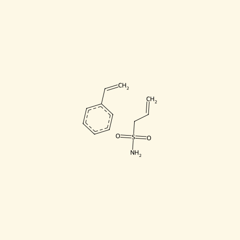 C=CCS(N)(=O)=O.C=Cc1ccccc1